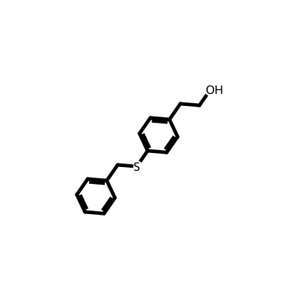 OCCc1ccc(SCc2ccccc2)cc1